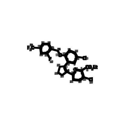 CCOC(=O)c1nc(C2=C(c3cc(Cl)ccc3OCc3ccc(C(F)(F)F)cc3F)CCC2)ccc1Cl